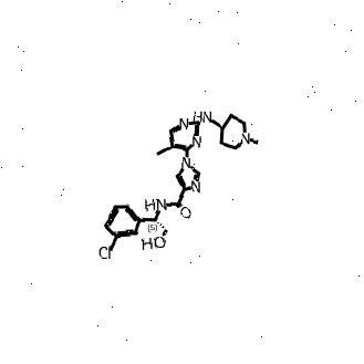 Cc1cnc(NC2CCN(C)CC2)nc1-n1cnc(C(=O)N[C@H](CO)c2cccc(Cl)c2)c1